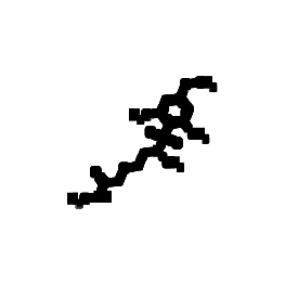 CNC(=O)COCCN(C)S(=O)(=O)c1c(C)cc(OC)cc1C